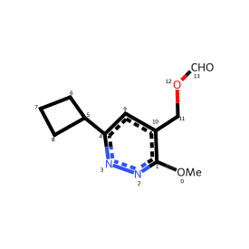 COc1nnc(C2CCC2)cc1COC=O